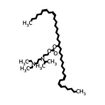 CCCCC/C=C\C/C=C\CCCCCCCCC(CCCCCCCC/C=C\C/C=C\CCCCC)OC(=O)OCCN(CCN(CC)CC)C(C)C